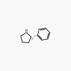 c1ccc([C@@H]2CCCN2)nc1